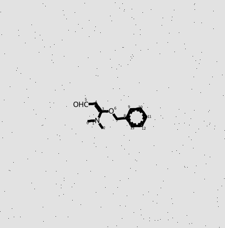 CN(C)C(=CC=O)OCc1ccccc1